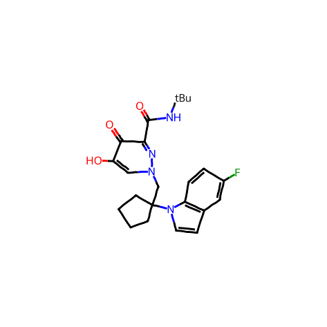 CC(C)(C)NC(=O)c1nn(CC2(n3ccc4cc(F)ccc43)CCCC2)cc(O)c1=O